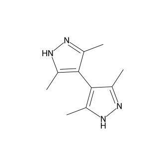 Cc1n[nH]c(C)c1-c1c(C)n[nH]c1C